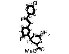 COC(=O)[C@H]1C[C@@](C)(c2cc(/C=C(\F)c3ccc(Cl)cn3)ccc2F)N=C(N)S1